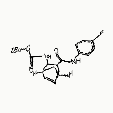 CC(C)(C)OC(=O)N[C@H]1[C@@H](C(=O)Nc2ccc(F)cc2)[C@@H]2C=C[C@H]1C2